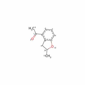 CC(=O)c1cccc2c1CC(C)O2